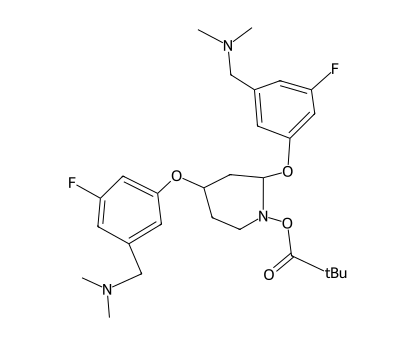 CN(C)Cc1cc(F)cc(OC2CCN(OC(=O)C(C)(C)C)C(Oc3cc(F)cc(CN(C)C)c3)C2)c1